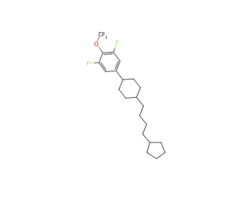 Fc1cc(C2CCC(CCCCC3CCCC3)CC2)cc(F)c1OC(F)(F)F